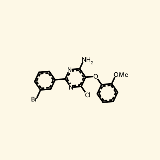 COc1ccccc1Oc1c(N)nc(-c2cccc(Br)c2)nc1Cl